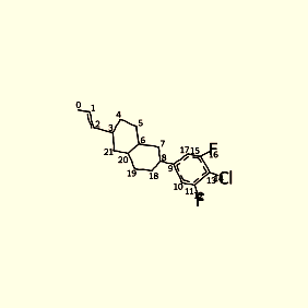 CC=CC1CCC2CC(c3cc(F)c(Cl)c(F)c3)CCC2C1